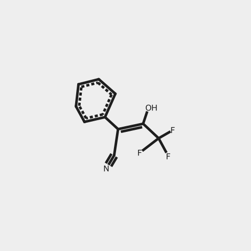 N#C/C(=C(/O)C(F)(F)F)c1ccccc1